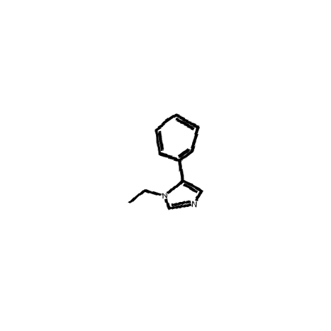 CCn1cncc1-c1ccccc1